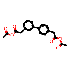 CC(=O)OC(=O)Cc1ccc(-c2cccc(CC(=O)OC(C)=O)c2)cc1